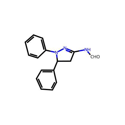 O=CNC1=NN(c2ccccc2)C(c2ccccc2)C1